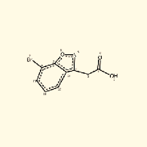 O=C(O)Cc1noc2c(Br)cccc12